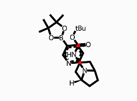 CC(C)(C)OC(=O)NC1CC2CC[C@H](C1)N2c1ccc(B2OC(C)(C)C(C)(C)O2)cn1